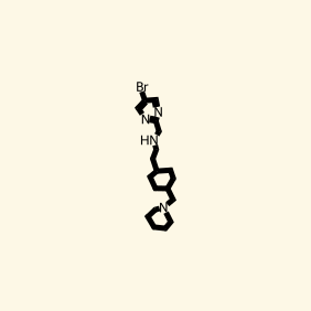 Brc1cnc(CNCCC2CCC(CN3CCCCC3)CC2)nc1